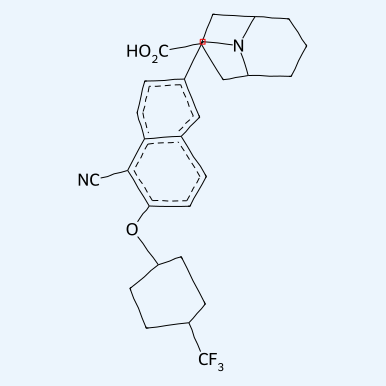 N#Cc1c(OC2CCC(C(F)(F)F)CC2)ccc2cc(CN3C4CCCC3CC(C(=O)O)C4)ccc12